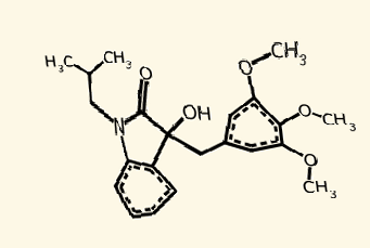 COc1cc(CC2(O)C(=O)N(CC(C)C)c3ccccc32)cc(OC)c1OC